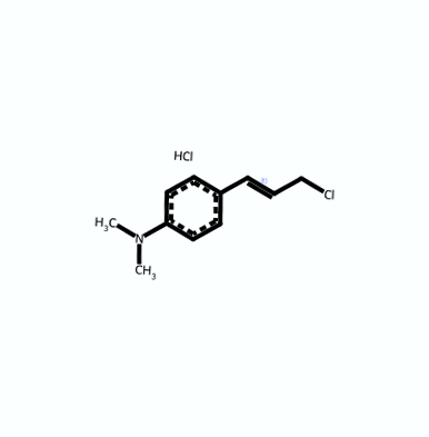 CN(C)c1ccc(/C=C/CCl)cc1.Cl